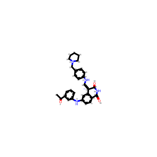 CC(=O)c1cccc(Nc2ccc3c(c2)/C(=C/Nc2ccc(CN4CCCCC4)cc2)C(=O)NC3=O)c1